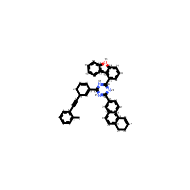 Cc1ccccc1C#CC1C=C(c2nc(-c3ccc4c5c(ccc4c3)CCC=C5)nc(-c3cccc4oc5ccccc5c34)n2)C=CC1